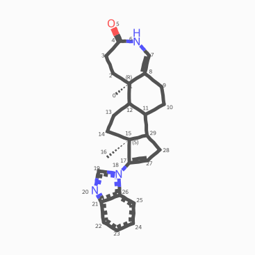 C[C@]12CCC(=O)NC=C1CCC1C2CC[C@]2(C)C(n3cnc4ccccc43)=CCC12